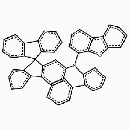 c1ccc(-c2ccccc2N(c2ccc3c(c2)C2(c4ccccc4-c4ccccc42)c2ccccc2-3)c2cccc3c2oc2ccccc23)cc1